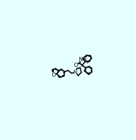 NC(=O)C(c1ccccc1)(c1ccccc1)[C@@H]1CCN(CCc2ccc3occc3c2)C1